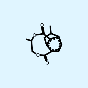 CC1COC(=O)c2ccc3c(c2CC3C)C(=O)O1